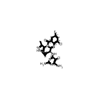 Cc1n[nH]cc1-n1c([C@@H](Nc2nc(N)nc(N)c2Cl)C2CC2)nc2c(Cl)cc(F)cc2c1=O